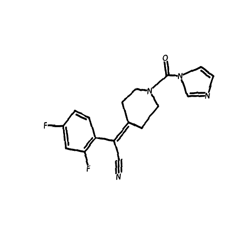 N#CC(=C1CCN(C(=O)n2ccnc2)CC1)c1ccc(F)cc1F